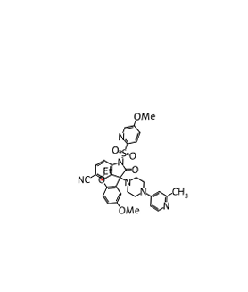 CCOc1ccc(OC)cc1C1(N2CCN(c3ccnc(C)c3)CC2)C(=O)N(S(=O)(=O)c2ccc(OC)cn2)c2ccc(C#N)cc21